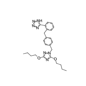 CCCCOc1nc(OCCCC)n(Cc2ccc(Cc3ccccc3-c3nnn[nH]3)cc2)n1